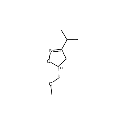 COC[C@H]1CC(C(C)C)=NO1